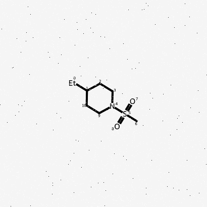 CCC1CCN(S(C)(=O)=O)CC1